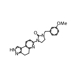 COc1cccc(CN2CCN(c3ccc4c(n3)CCc3n[nH]cc3-4)C2=O)c1